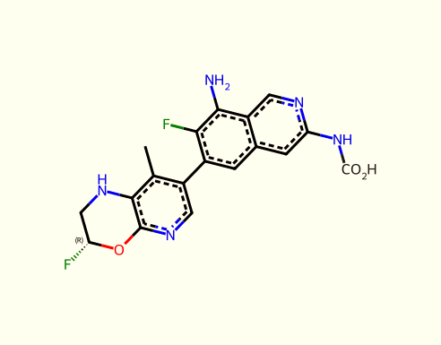 Cc1c(-c2cc3cc(NC(=O)O)ncc3c(N)c2F)cnc2c1NC[C@@H](F)O2